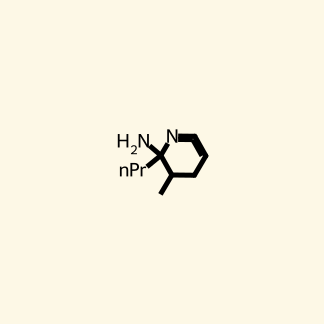 CCCC1(N)N=C=CCC1C